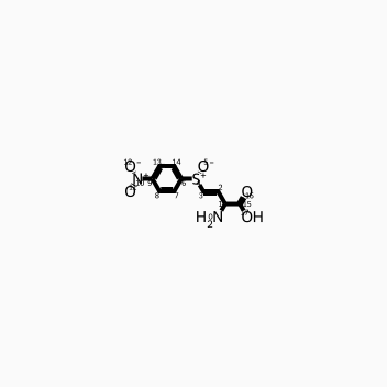 NC(/C=C/[S+]([O-])c1ccc([N+](=O)[O-])cc1)C(=O)O